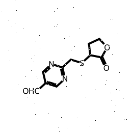 O=Cc1cnc(CSC2CCOC2=O)nc1